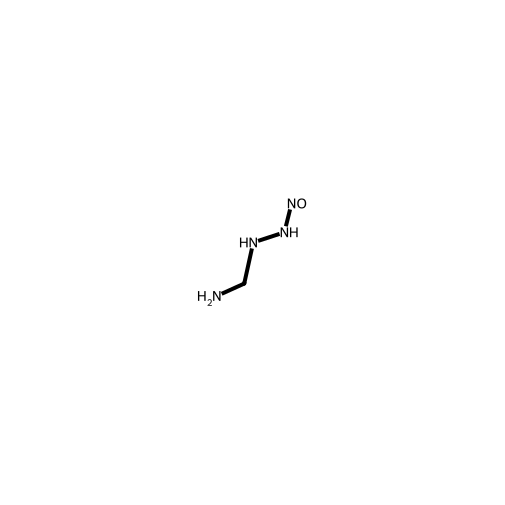 NCNNN=O